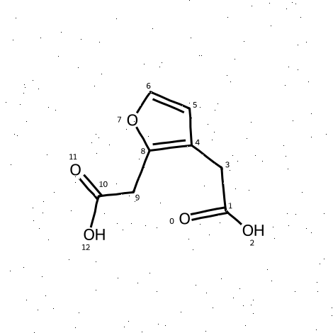 O=C(O)Cc1ccoc1CC(=O)O